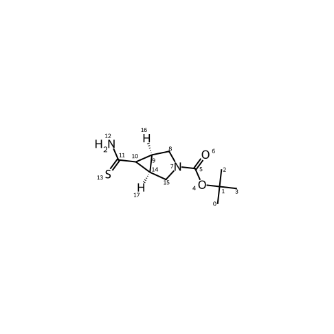 CC(C)(C)OC(=O)N1C[C@@H]2C(C(N)=S)[C@@H]2C1